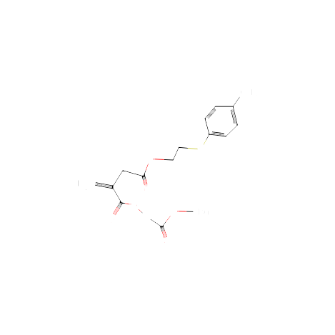 C=C(CC(=O)OCCSc1ccc(C)cc1)C(=O)OCC(=O)OC(C)(C)C